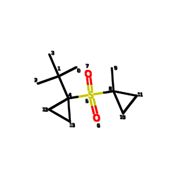 CC(C)(C)C1(S(=O)(=O)C2(C)CC2)CC1